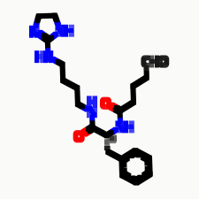 O=CCCCC(=O)N[C@H](Cc1ccccc1)C(=O)NCCCCNC1=NCCN1